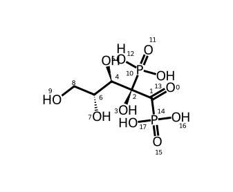 O=C([C@](O)([C@H](O)[C@H](O)CO)P(=O)(O)O)P(=O)(O)O